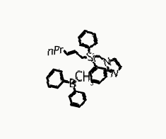 CB(c1ccccc1)c1ccccc1.CCCC=CC[Si](Cn1ccnc1)(c1ccccc1)c1ccccc1